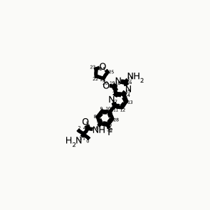 CC(C)(N)C(=O)Nc1ccc(-c2ccc3nc(N)nc(O[C@@H]4CCOC4)c3n2)cc1F